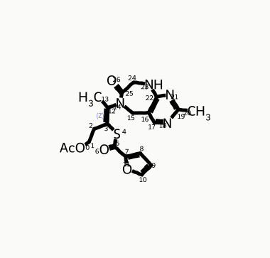 CC(=O)OCC/C(SC(=O)c1ccco1)=C(\C)N1Cc2cnc(C)nc2NCC1=O